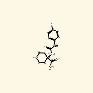 O=C(Nc1ccc(Cl)cc1)NC1(C(=O)O)CCOCC1